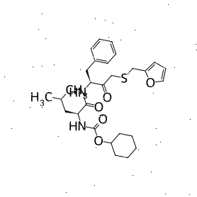 CC(C)C[C@H](NC(=O)OC1CCCCC1)C(=O)N[C@@H](Cc1ccccc1)C(=O)CSCc1ccco1